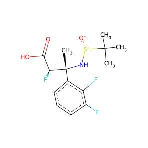 CC(C)(C)[S@@+]([O-])N[C@](C)(c1cccc(F)c1F)[C@@H](F)C(=O)O